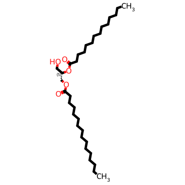 CCCCCCCCCCCCCCCC(=O)OC[C@H](CO)OC(=O)CCCCCCCCCCCCC